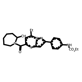 CCOC(=O)Nc1ccc(-c2cc3nc(C(=O)N4CCCCCC4C)cc(CC)n3n2)cc1